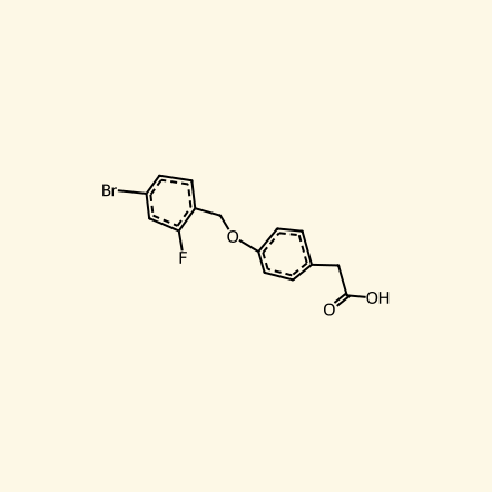 O=C(O)Cc1ccc(OCc2ccc(Br)cc2F)cc1